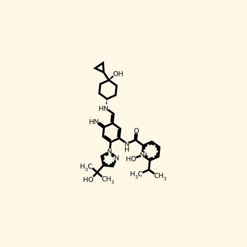 CC(C)c1cccc(C(=O)NC2=C/C(=C/N[C@H]3CC[C@@](O)(C4CC4)CC3)C(=N)C=C2n2cc(C(C)(C)O)cn2)[n+]1O